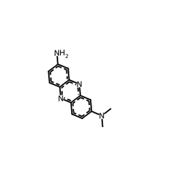 CN(C)c1ccc2nc3ccc(N)cc3nc2c1